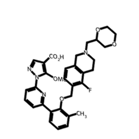 COc1c(C(=O)O)cnn1-c1cccc(-c2cccc(C)c2OCc2ccc3c(c2F)CCN(CC2COCCO2)C3)n1